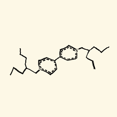 CCCC(CCC)C[n+]1ccc(-c2cc[n+](CC(CCC)CCC)cc2)cc1